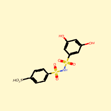 O=S(=O)(O)c1ccc(S(=O)(=O)NS(=O)(=O)c2cc(O)cc(O)c2)cc1